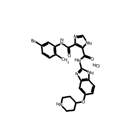 Cc1ccc(Br)cc1NC(=O)c1nc[nH]c1C(=O)Nc1nc2cc(OC3CCNCC3)ccc2[nH]1.Cl